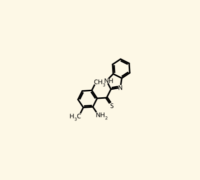 Cc1ccc(C)c(C(=S)c2nc3ccccc3[nH]2)c1N